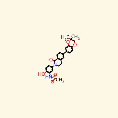 CC1(C)COc2ccc(-c3ccc4c(c3)CCN(c3ccc(O)c(NS(C)(=O)=O)c3)C4=O)cc2O1